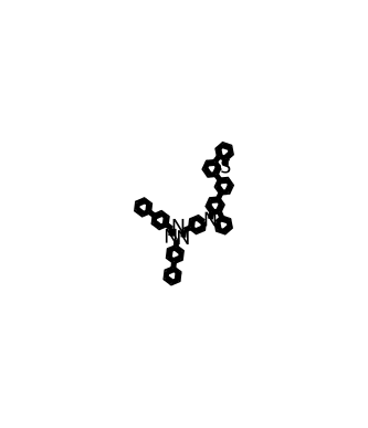 c1ccc(-c2ccc(-c3nc(-c4ccc(-c5ccccc5)cc4)nc(-c4ccc(-n5c6ccccc6c6cc(-c7cccc(-c8cccc9c8sc8ccccc89)c7)ccc65)cc4)n3)cc2)cc1